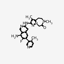 Cc1ccncc1-c1cc2cc(Nc3nn4c(c3C)CCN(C)C(=O)C4)ncc2c(N)c1F